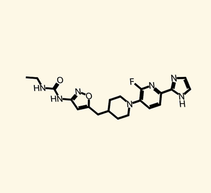 CCNC(=O)Nc1cc(CC2CCN(c3ccc(-c4ncc[nH]4)nc3F)CC2)on1